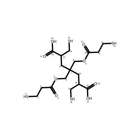 O=C(CCS)OCC(COC(=O)CCS)(CC(CS)C(=O)O)CC(CS)C(=O)O